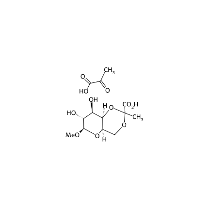 CC(=O)C(=O)O.CO[C@@H]1O[C@@H]2COC(C)(C(=O)O)O[C@@H]2[C@H](O)[C@H]1O